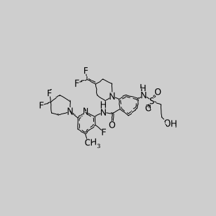 Cc1cc(N2CCC(F)(F)CC2)nc(NC(=O)c2ccc(NS(=O)(=O)CCO)cc2N2CCC(=C(F)F)CC2)c1F